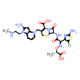 CNCCn1c(N)cc2c1ccc[n+]2CC1=C(C(=O)O)N2C(=O)[C@@H](NC(=O)/C(=N\O[C@@H](C)C(=O)O)c3nc(N)sc3Cl)C2SC1